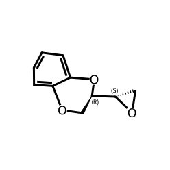 c1ccc2c(c1)OC[C@H]([C@@H]1CO1)O2